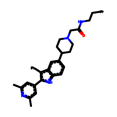 Cc1cc(-c2[nH]c3ccc(C4CCN(CC(=O)NCCC(C)C)CC4)cc3c2C(C)C)cc(C)n1